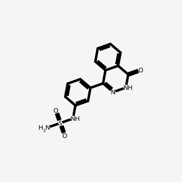 NS(=O)(=O)Nc1cccc(-c2n[nH]c(=O)c3ccccc23)c1